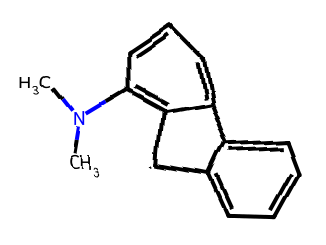 CN(C)c1cccc2c1[CH]c1ccccc1-2